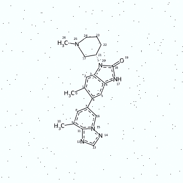 Cc1cc2c(cc1-c1cc(C)c3ncnn3c1)[nH]c(=O)n2[C@H]1CCCN(C)C1